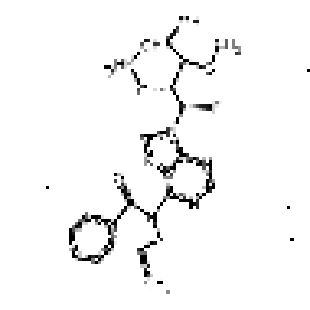 C=CCN(C(=O)c1ccccc1)c1ncnc2c1ncn2[C@H](F)[C@H](O[PH](=O)O)[C@@H](CO)OC